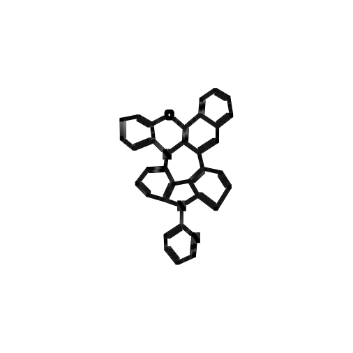 c1ccc(-n2c3cccc4c5cc6ccccc6c6c5n(c5cccc2c5c43)-c2ccccc2O6)nc1